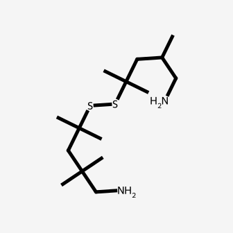 CC(CN)CC(C)(C)SSC(C)(C)CC(C)(C)CN